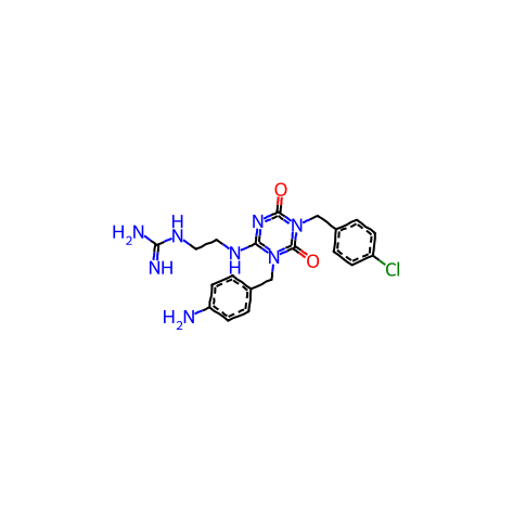 N=C(N)NCCNc1nc(=O)n(Cc2ccc(Cl)cc2)c(=O)n1Cc1ccc(N)cc1